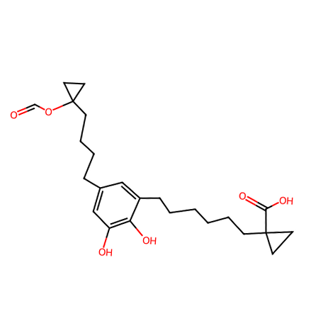 O=COC1(CCCCc2cc(O)c(O)c(CCCCCCC3(C(=O)O)CC3)c2)CC1